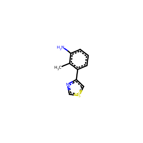 Cc1c(N)cccc1-c1cscn1